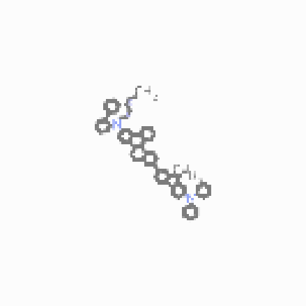 C=C/C=C\C=C/CN(c1ccc2c3c(c4ccccc4c2c1)-c1ccc(-c2ccc4c(c2)C(C)(C)c2cc(N(c5ccccc5)c5ccccc5)ccc2-4)cc1CC3)c1ccccc1-c1ccccc1